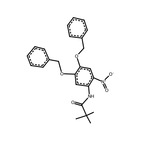 CC(C)(C)C(=O)Nc1cc(OCc2ccccc2)c(OCc2ccccc2)cc1[N+](=O)[O-]